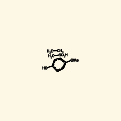 CC.COc1ccc(O)cc1.CS(=O)(=O)O